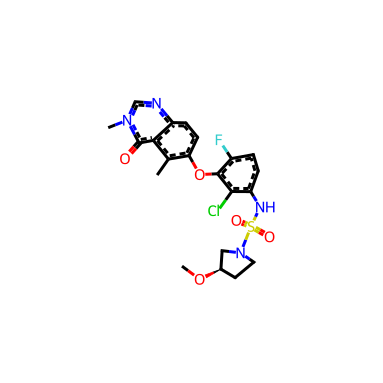 CO[C@@H]1CCN(S(=O)(=O)Nc2ccc(F)c(Oc3ccc4ncn(C)c(=O)c4c3C)c2Cl)C1